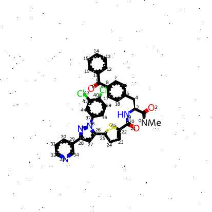 CNC(=O)[C@H](Cc1ccc(C(=O)c2ccccc2)cc1)NC(=O)C1=CCC(c2cc(-c3cccnc3)nn2-c2ccc(Cl)c(Cl)c2)S1